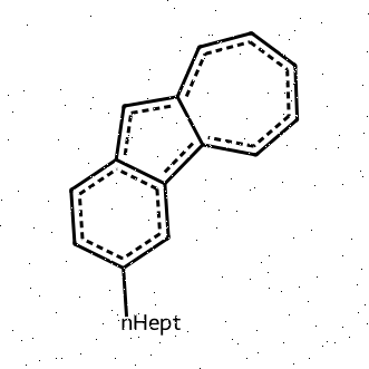 CCCCCCCc1ccc2cc3cccccc-3c2c1